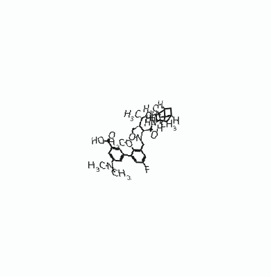 COc1c(CN2OC[C@@H]([C@H](C)O)[C@H]2C(=O)N[C@H]2C[C@H]3C[C@@H]([C@@H]2C)C3(C)C)cc(F)cc1-c1cc(C(=O)O)cc(N(C)C)c1